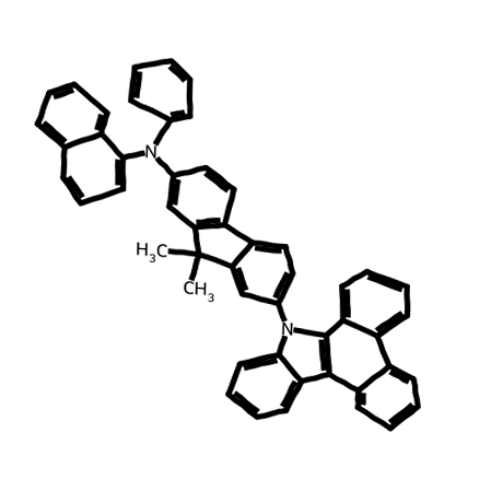 CC1(C)c2cc(N(c3ccccc3)c3cccc4ccccc34)ccc2-c2ccc(-n3c4ccccc4c4c5ccccc5c5ccccc5c43)cc21